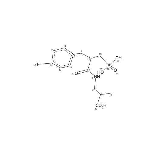 CC(CNC(=O)C(Cc1ccc(F)cc1)CP(=O)(O)O)C(=O)O